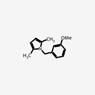 COc1cccc(Cn2c(C)ccc2C)c1